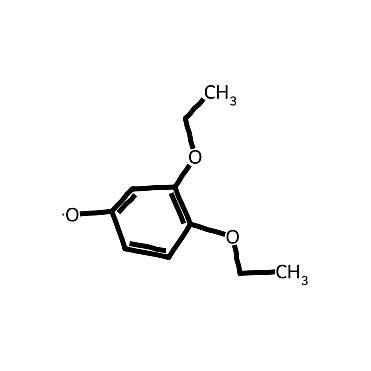 CCOc1ccc([O])cc1OCC